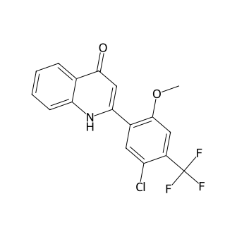 COc1cc(C(F)(F)F)c(Cl)cc1-c1cc(=O)c2ccccc2[nH]1